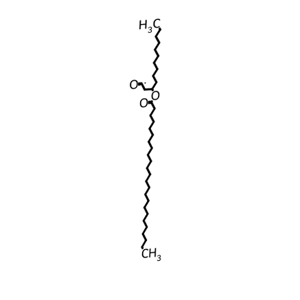 CCCCCCCCCCCCCCCCCCCCCCCC(=O)OC(C[C]=O)CCCCCCCCCC